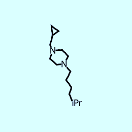 CC(C)CCCCN1CCN(CC2CC2)CC1